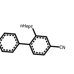 CCCCCCCc1cc(C#N)ccc1-c1ccccc1